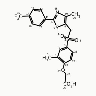 Cc1cc(S(=O)(=O)Cc2sc(-c3ccc(C(F)(F)F)cc3)nc2C)ccc1OCC(=O)O